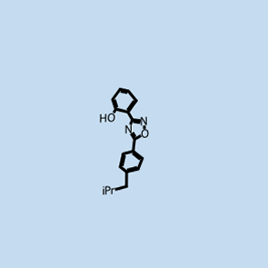 CC(C)Cc1ccc(-c2nc(-c3ccccc3O)no2)cc1